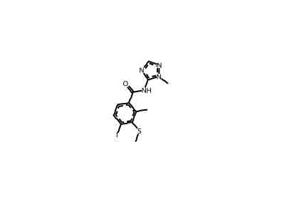 CSc1c(I)ccc(C(=O)Nc2ncnn2C)c1C